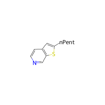 CCCCCc1cc2ccncc2s1